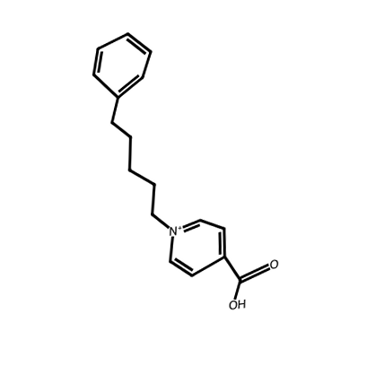 O=C(O)c1cc[n+](CCCCCc2ccccc2)cc1